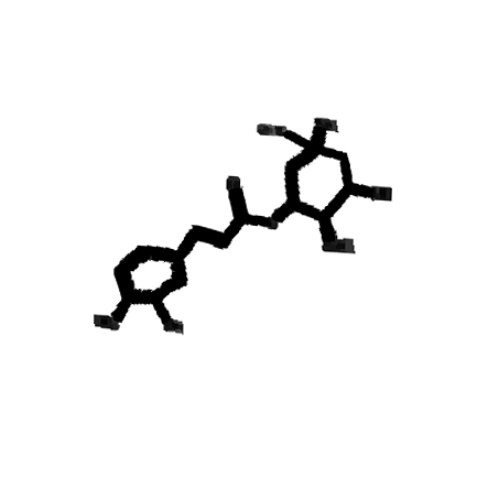 O=CC1(O)CC(O)C(O)C(OC(=O)/C=C/c2ccc(O)c(O)c2)C1